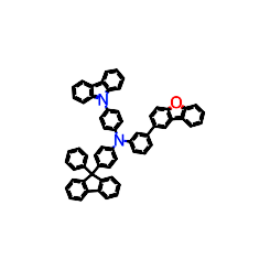 c1ccc(C2(c3ccc(N(c4ccc(-n5c6ccccc6c6ccccc65)cc4)c4cccc(-c5ccc6oc7ccccc7c6c5)c4)cc3)c3ccccc3-c3ccccc32)cc1